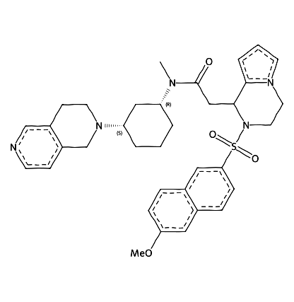 COc1ccc2cc(S(=O)(=O)N3CCn4cccc4C3CC(=O)N(C)[C@@H]3CCC[C@H](N4CCc5cnccc5C4)C3)ccc2c1